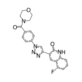 O=C(c1ccc(-n2cc(-c3cc4c(F)cccc4[nH]c3=O)nn2)cc1)N1CCOCC1